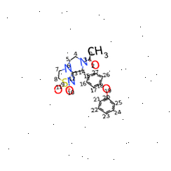 CC(=O)N1CCN2CCS(=O)(=O)N=C2[C@H]1c1ccc(Oc2ccccc2)cc1